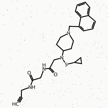 C#CCNC(=O)CNC(=O)CN(SC1CC1)C1CCN(Cc2cccc3ccccc23)CC1